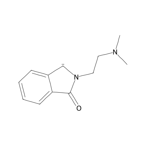 CN(C)CCN1[C]c2ccccc2C1=O